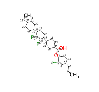 CCC[C@@H]1C=C(F)[C@H](O[C@H](O)C2CCC([C@H]3CC[C@@H](C4CCC(CC)CC4)C(F)=C3F)CC2)CC1